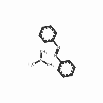 CN(C)C.c1ccc(/N=N/c2ccccc2)cc1